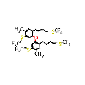 Cc1cc(CCCCCSC(F)(F)F)c(Oc2cc(SCC(F)(F)F)c(C)cc2CCCCCSC(F)(F)F)cc1SCC(F)(F)F